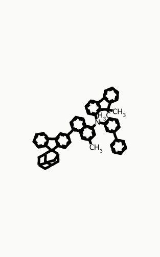 Cc1cc(N(c2cccc(-c3ccccc3)c2)c2cccc3c2C(C)(C)c2ccccc2-3)c2cccc(-c3ccc4c(c3)-c3ccccc3C43C4CC5CC(C4)CC3C5)c2c1